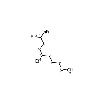 CCCC(CC)CCC(CC)CCCOO